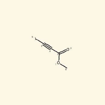 COC(=O)C#CI